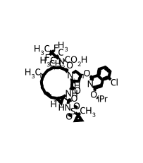 CC(C)Oc1cc2c(Cl)cccc2c(O[C@@H]2C[C@H]3C(=O)N[C@]4(C(=O)NS(=O)(=O)C5(C)CC5)C[C@H]4C=CCC[C@H](C)C[C@@H](C)[C@H](N(C(=O)O)C(C)(C)C(C)(F)F)C(=O)N3C2)n1